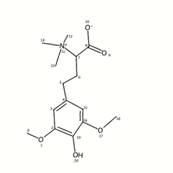 COc1cc(CCC(C(=O)[O-])[N+](C)(C)C)cc(OC)c1O